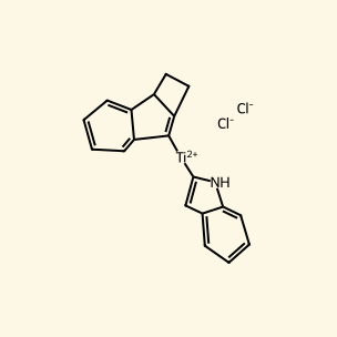 [Cl-].[Cl-].c1ccc2c(c1)[C]([Ti+2][c]1cc3ccccc3[nH]1)=C1CCC12